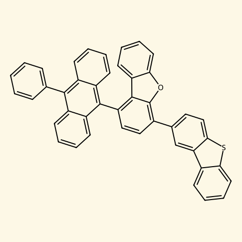 c1ccc(-c2c3ccccc3c(-c3ccc(-c4ccc5sc6ccccc6c5c4)c4oc5ccccc5c34)c3ccccc23)cc1